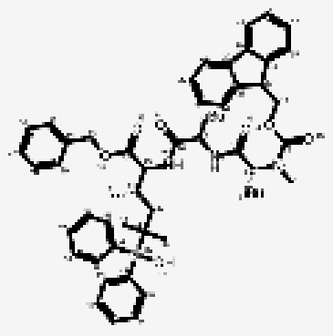 CCC(C)C(NC(=O)[C@H]([C@@H](C)CC)N(C)C(=O)OCC1c2ccccc2-c2ccccc21)C(=O)N[C@H](C(=O)OCc1ccccc1)[C@@H](C)CC(C)(C)[Si](O)(c1ccccc1)c1ccccc1